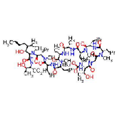 C/C=C/C[C@@H](C)[C@@H](O)[C@@H](C(=O)N[C@H](C(=O)O)[C@@H](C)O)N(C)C(=O)[C@H](C(C)C)N(C)C(=O)[C@H](CC(C)C)NC(=O)[C@H](CC(C)C)N(C)C(=O)[C@@H](C)NC(=O)[C@H](C)NC(=O)[C@H](CC(C)C)N(C)C(=O)[C@H](CC(C)C)NC(=O)[C@H](CC(C)C)N(C)C(=O)CN(C)C(=O)[C@@H](NC(=O)OC(C)(C)C)[C@@H](C)O